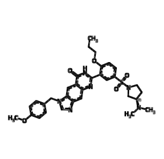 CCCOc1ccc(S(=O)(=O)N2CC[C@@H](N(C)C)C2)cc1-c1nc2cc3ncn(Cc4ccc(OC)cc4)c3cc2c(=O)[nH]1